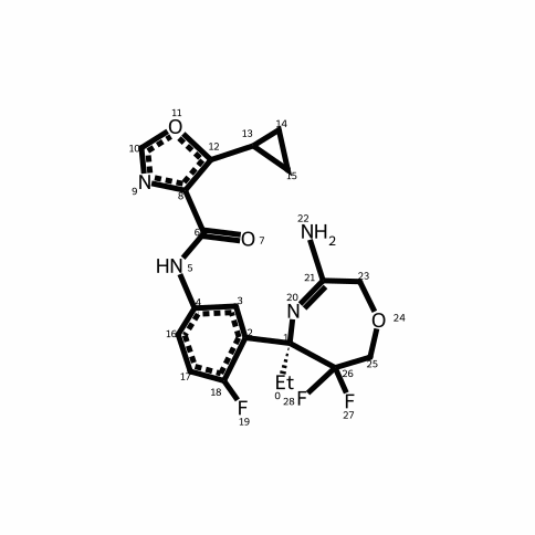 CC[C@]1(c2cc(NC(=O)c3ncoc3C3CC3)ccc2F)N=C(N)COCC1(F)F